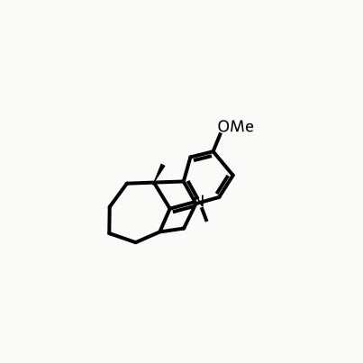 CN=C1C2CCCC[C@]1(C)c1cc(OC)ccc1C2